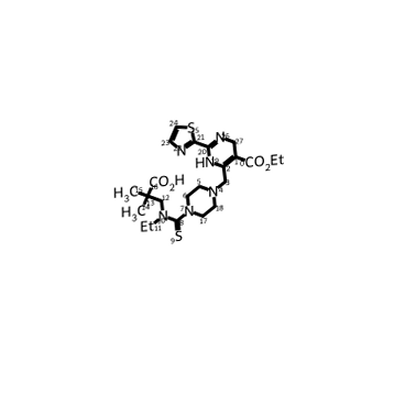 CCOC(=O)C1=C(CN2CCN(C(=S)N(CC)CC(C)(C)C(=O)O)CC2)NC(c2nccs2)=NC1